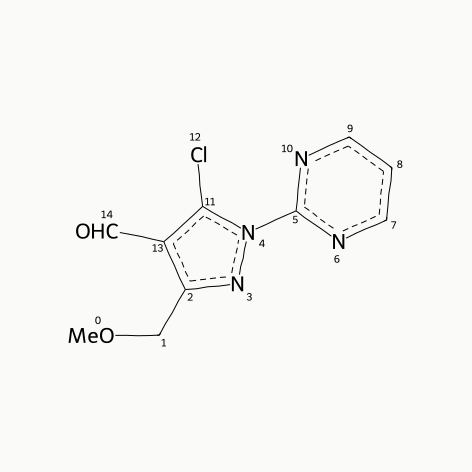 COCc1nn(-c2ncccn2)c(Cl)c1C=O